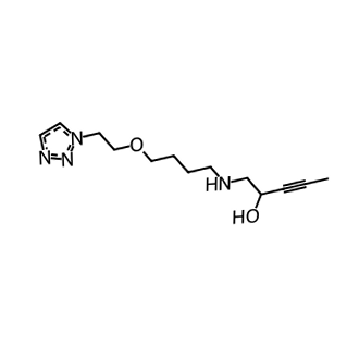 CC#CC(O)CNCCCCOCCn1ccnn1